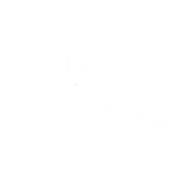 O=C(OCCCCC(F)(F)[SH](=O)=O)C1CCCCC1